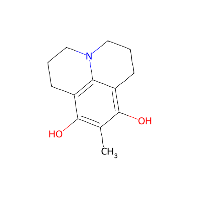 Cc1c(O)c2c3c(c1O)CCCN3CCC2